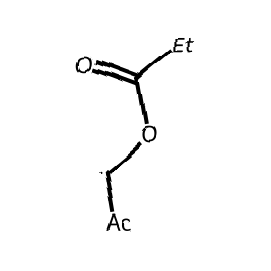 CCC(=O)O[CH]C(C)=O